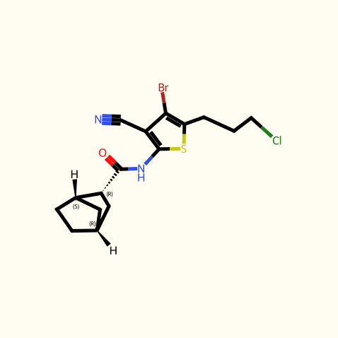 N#Cc1c(NC(=O)[C@@H]2C[C@@H]3CC[C@H]2C3)sc(CCCCl)c1Br